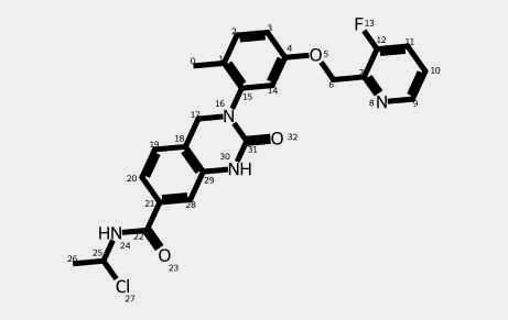 Cc1ccc(OCc2ncccc2F)cc1N1Cc2ccc(C(=O)NC(C)Cl)cc2NC1=O